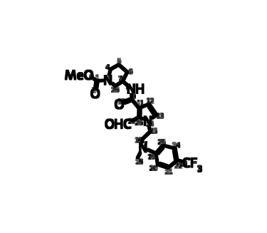 COC(=O)N1CCCC(NC(=O)c2ccn(CCN(C)c3ccc(C(F)(F)F)cc3)c2C=O)C1